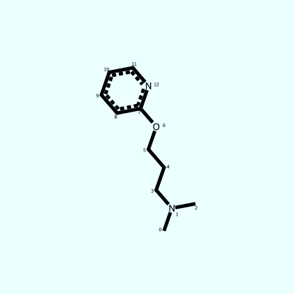 CN(C)CCCOc1ccccn1